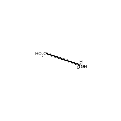 O=C(O)CCCCCCCCCCCCCCCCCCCC(=O)NO